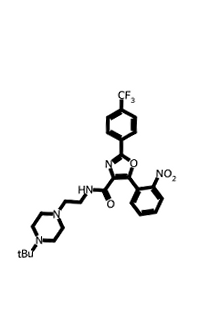 CC(C)(C)N1CCN(CCNC(=O)c2nc(-c3ccc(C(F)(F)F)cc3)oc2-c2ccccc2[N+](=O)[O-])CC1